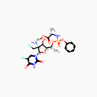 CC(C)OC(=O)[C@H](C)N[P@](=O)(Oc1ccccc1)O[C@H](C)[C@H]1O[C@@H](n2cc(F)c(=O)[nH]c2=O)[C@@](N)(CF)C1O